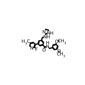 COc1cc(CNC(=O)c2cc(CNC3=NCCN3)cc(-c3cc(C)cnc3F)c2)cc(OC)c1